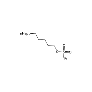 CCCCCCCCCCCCOS(=O)(=O)CCC